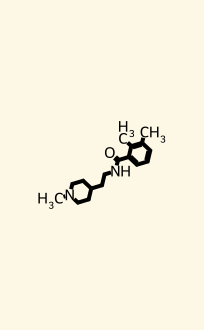 Cc1cccc(C(=O)NCCC2CCN(C)CC2)c1C